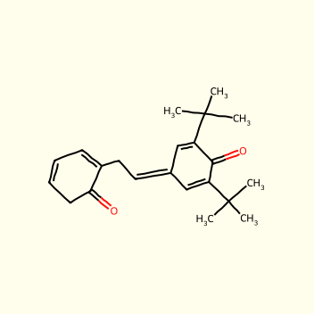 CC(C)(C)C1=CC(=CCC2=CC=CCC2=O)C=C(C(C)(C)C)C1=O